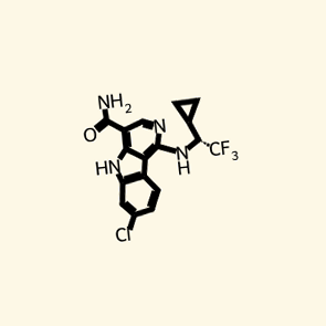 NC(=O)c1cnc(N[C@H](C2CC2)C(F)(F)F)c2c1[nH]c1cc(Cl)ccc12